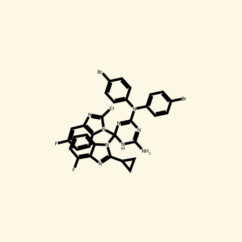 CCc1nc2cc(F)ccc2n1C1(n2c(C3CC3)nc3c(F)cccc32)N=C(N(c2ccc(Br)cc2)c2ccc(Br)cc2)N=C(N)N1